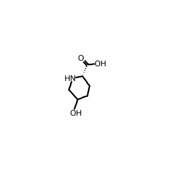 O=C(O)[C@@H]1CCC(O)CN1